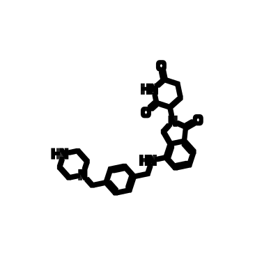 O=C1CCC(N2Cc3c(NCc4ccc(CN5CCNCC5)cc4)cccc3C2=O)C(=O)N1